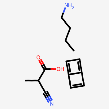 CC(C#N)C(=O)O.CCCCN.c1cc2ccc1-2